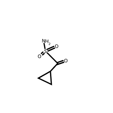 NS(=O)(=O)C(=O)C1CC1